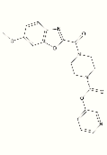 COc1ccc2nc(C(=O)N3CCN(C(=O)Oc4cccnc4)CC3)oc2c1